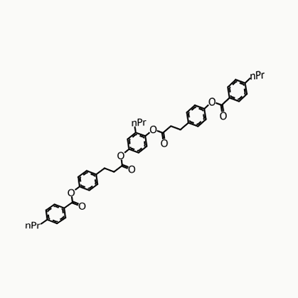 CCCc1ccc(C(=O)Oc2ccc(CCC(=O)Oc3ccc(OC(=O)CCc4ccc(OC(=O)c5ccc(CCC)cc5)cc4)c(CCC)c3)cc2)cc1